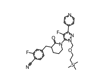 C[Si](C)(C)CCOCn1nc(-c2ccncc2)c(F)c1N1CCCC(Cc2ccc(C#N)c(F)c2)C1=O